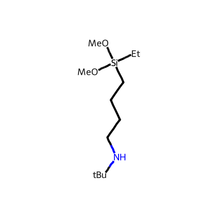 CC[Si](CCCCNC(C)(C)C)(OC)OC